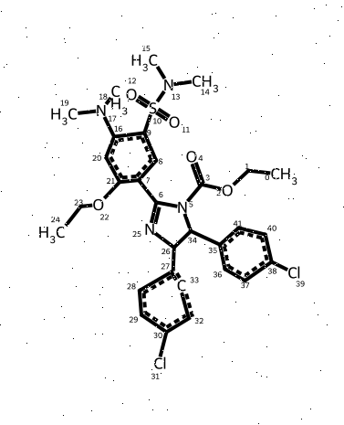 CCOC(=O)N1C(c2cc(S(=O)(=O)N(C)C)c(N(C)C)cc2OCC)=NC(c2ccc(Cl)cc2)C1c1ccc(Cl)cc1